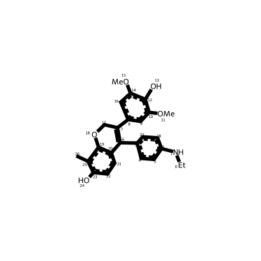 CCNc1ccc(C2=C(c3cc(OC)c(O)c(OC)c3)COc3c2ccc(O)c3C)cc1